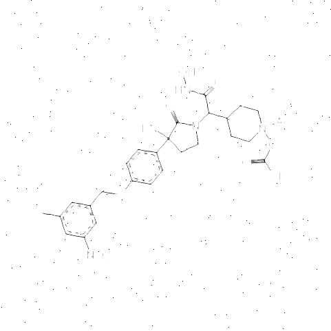 CC(=O)[N+]1(OC(=O)C(F)(F)F)CCC(C(C(=O)NO)N2CCC(N)(c3ccc(OCc4cc(C)cc([N+](=O)[O-])c4)cc3)C2=O)CC1